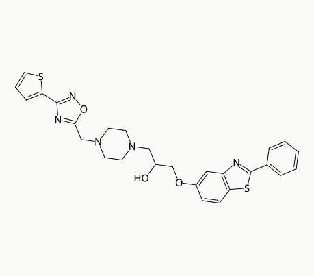 OC(COc1ccc2sc(-c3ccccc3)nc2c1)CN1CCN(Cc2nc(-c3cccs3)no2)CC1